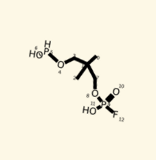 CC(C)(COPO)COP(=O)(O)F